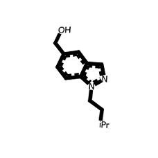 CC(C)CCn1ncc2cc(CO)ccc21